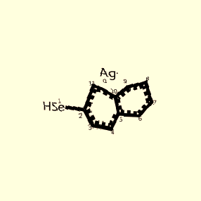 [Ag].[SeH]c1ccc2ccccc2c1